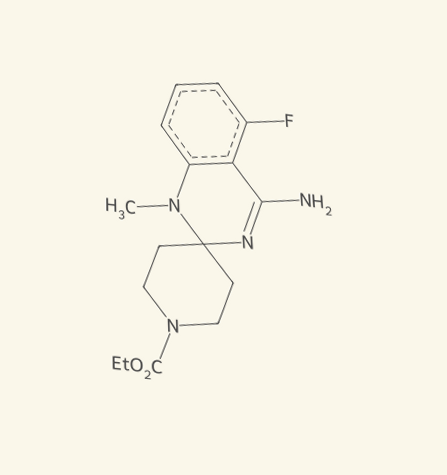 CCOC(=O)N1CCC2(CC1)N=C(N)c1c(F)cccc1N2C